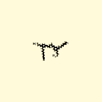 C=C(/C=C/c1ccc(CCCN)c(CCCCCCCCC)c1)CC(=C)/C=C/c1ccc(CCCN)c(CCCCCCCCC)c1